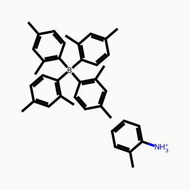 Cc1ccc([B-](c2ccc(C)cc2C)(c2ccc(C)cc2C)c2ccc(C)cc2C)c(C)c1.Cc1ccccc1[NH3+]